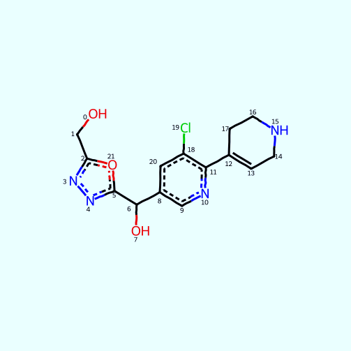 OCc1nnc(C(O)c2cnc(C3=CCNCC3)c(Cl)c2)o1